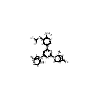 Nc1ncc(-c2cc(N3C[C@@H]4C[C@H]3CO4)nc(N3CC4C[C@@H]3CC4F)n2)cc1OC(F)F